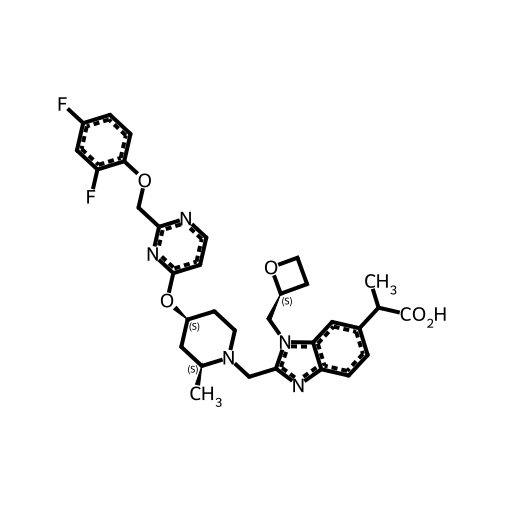 CC(C(=O)O)c1ccc2nc(CN3CC[C@H](Oc4ccnc(COc5ccc(F)cc5F)n4)C[C@@H]3C)n(C[C@@H]3CCO3)c2c1